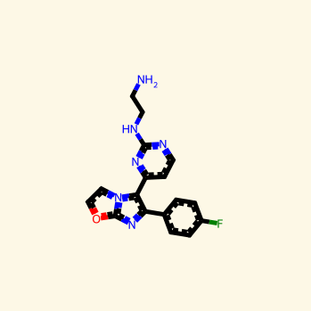 NCCNc1nccc(-c2c(-c3ccc(F)cc3)nc3occn23)n1